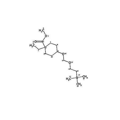 CCC1(C(=O)OC)CCC(OCOCC[Si](C)(C)C)CC1